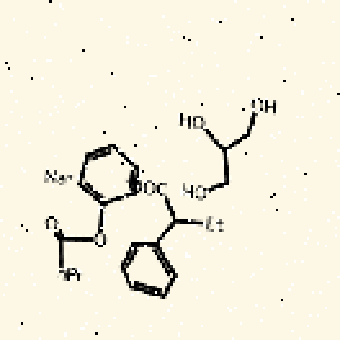 CCC(C(=O)[O-])c1ccccc1.CCCC(=O)Oc1ccccc1.OCC(O)CO.[Na+]